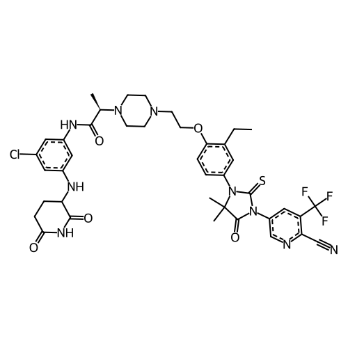 CCc1cc(N2C(=S)N(c3cnc(C#N)c(C(F)(F)F)c3)C(=O)C2(C)C)ccc1OCCN1CCN([C@H](C)C(=O)Nc2cc(Cl)cc(NC3CCC(=O)NC3=O)c2)CC1